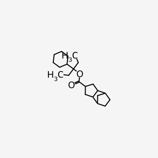 CCC(CC)(OC(=O)C1CC2C3CCC(C3)C2C1)C1CCCCC1